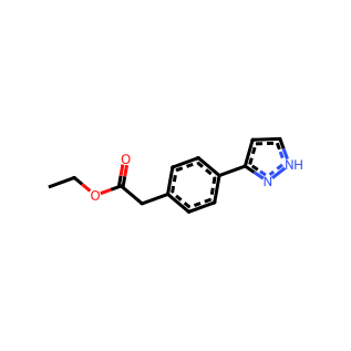 CCOC(=O)Cc1ccc(-c2cc[nH]n2)cc1